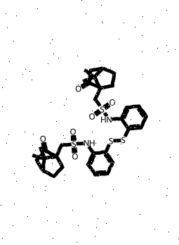 CC1(C)C2CCC1(CS(=O)(=O)Nc1ccccc1SSc1ccccc1NS(=O)(=O)CC13CCC(CC1=O)C3(C)C)C(=O)C2